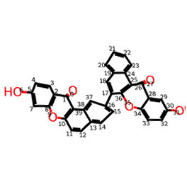 O=c1c2ccc(O)cc2oc2ccc3ccc(-c4cc5ccccc5c5c(=O)c6cc(O)ccc6oc45)cc3c12